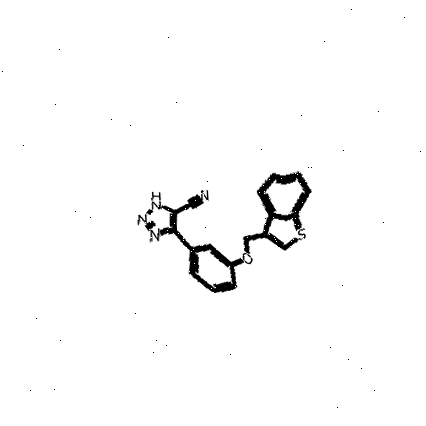 N#Cc1[nH]nnc1-c1cccc(OCc2csc3ccccc23)c1